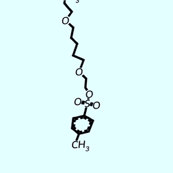 CCCOCCCCCOCCOS(=O)(=O)c1ccc(C)cc1